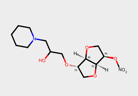 O=[N+]([O-])O[C@@H]1CO[C@H]2[C@@H]1OC[C@@H]2OCC(O)CN1CCCCC1